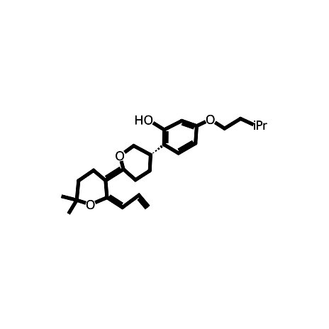 C=C/C=C1/OC(C)(C)CC/C1=C1/CC[C@@H](c2ccc(OCCC(C)C)cc2O)CO1